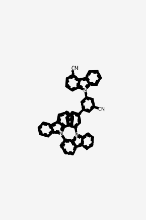 N#Cc1cc(-c2cccc(-n3c4ccccc4c4cccc(-n5c6ccccc6c6ccccc65)c43)c2)cc(-n2c3ccccc3c3c(C#N)cccc32)c1